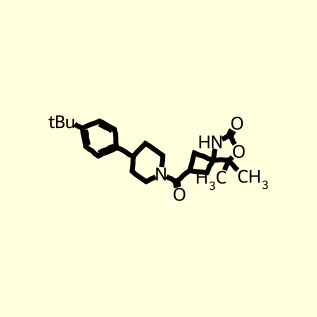 CC(C)(C)c1ccc(C2CCN(C(=O)C3CC4(C3)NC(=O)OC4(C)C)CC2)cc1